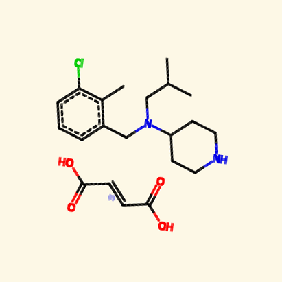 Cc1c(Cl)cccc1CN(CC(C)C)C1CCNCC1.O=C(O)/C=C/C(=O)O